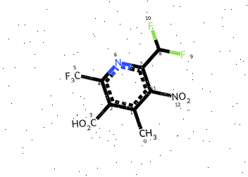 Cc1c(C(=O)O)c(C(F)(F)F)nc(C(F)F)c1[N+](=O)[O-]